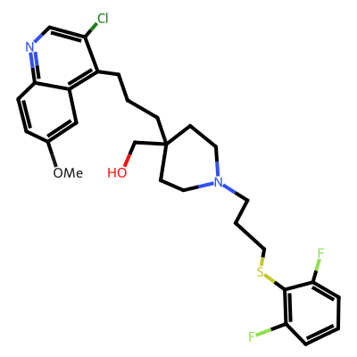 COc1ccc2ncc(Cl)c(CCCC3(CO)CCN(CCCSc4c(F)cccc4F)CC3)c2c1